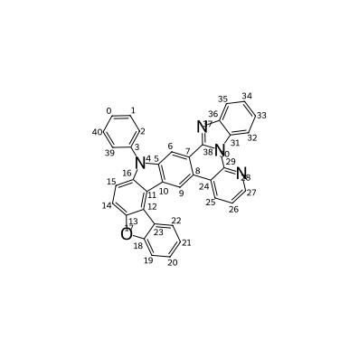 c1ccc(-n2c3cc4c(cc3c3c5c(ccc32)oc2ccccc25)c2cccnc2n2c3ccccc3nc42)cc1